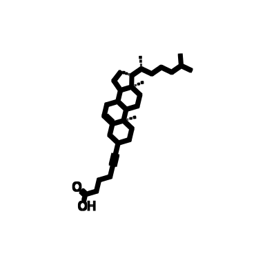 CC(C)CCC[C@@H](C)[C@H]1CCC2C3CC=C4CC(C#CCCCC(=O)O)CC[C@]4(C)C3CC[C@@]21C